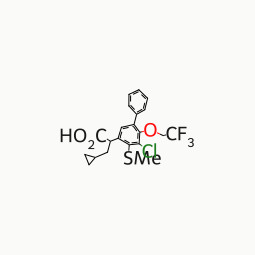 CSc1c(C(CC2CC2)C(=O)O)cc(-c2ccccc2)c(OCC(F)(F)F)c1Cl